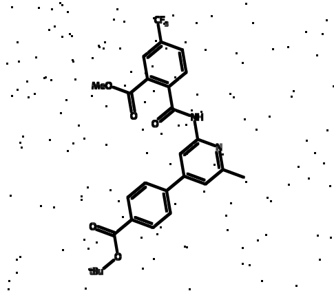 COC(=O)c1cc(C(F)(F)F)ccc1C(=O)Nc1cc(-c2ccc(C(=O)OC(C)(C)C)cc2)cc(C)n1